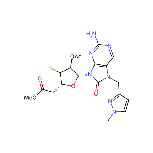 COC(=O)C[C@H]1O[C@@H](n2c(=O)n(Cc3ccn(C)n3)c3cnc(N)nc32)[C@H](OC(C)=O)[C@@H]1F